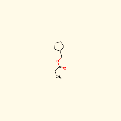 CCC(=O)OCC1CCCC1